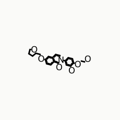 COc1cc(-n2ccc3cc(OCC4CCCO4)ccc3c2=O)ccc1OCC=O